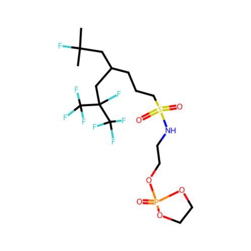 CC(C)(F)CC(CCCS(=O)(=O)NCCOP1(=O)OCCO1)CC(F)(C(F)(F)F)C(F)(F)F